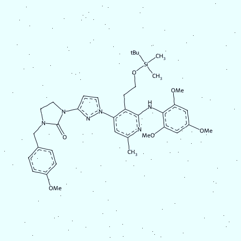 COc1ccc(CN2CCN(c3ccn(-c4cc(C)nc(Nc5c(OC)cc(OC)cc5OC)c4CCO[Si](C)(C)C(C)(C)C)n3)C2=O)cc1